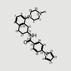 CN1CCN(c2cccc3c2CC(NC(=O)c2ccc(-n4cccc4)cc2)CC3)CC1